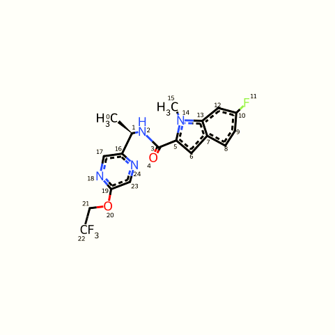 C[C@@H](NC(=O)c1cc2ccc(F)cc2n1C)c1cnc(OCC(F)(F)F)cn1